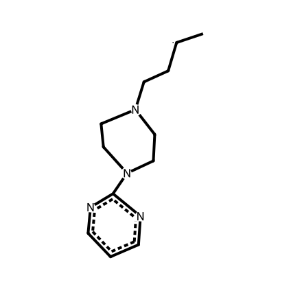 C[CH]CCN1CCN(c2ncccn2)CC1